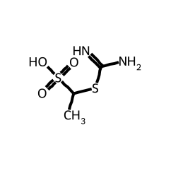 CC(SC(=N)N)S(=O)(=O)O